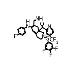 N=CC1=C(Nc2ccc(F)cc2)C=C2CCN(Sc3cc(F)c(F)c(F)c3)CC2(C(=O)c2cc(C(F)(F)F)ccn2)C1